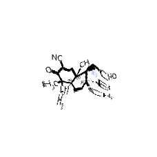 CC[C@]1(C)CC[C@H]2C(C)(C)C(=O)C(C#N)=C[C@]2(C)/C1=C/C=O